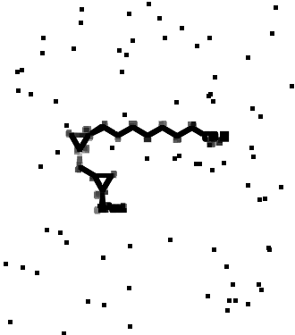 CCCCC[C@@H]1CC1C[C@@H]1C[C@H]1CCCCCCCC(=O)O